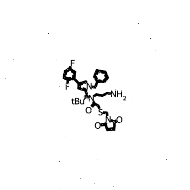 CC(C)(C)[C@H](c1cc(-c2cc(F)ccc2F)cn1Cc1ccccc1)N(CCCN)C(=O)CSCN1C(=O)C=CC1=O